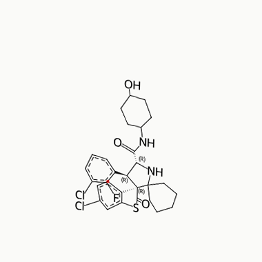 O=C(NC1CCC(O)CC1)[C@@H]1NC2(CCCCC2)[C@@]2(C(=O)Sc3cc(Cl)ccc32)[C@H]1c1cccc(Cl)c1F